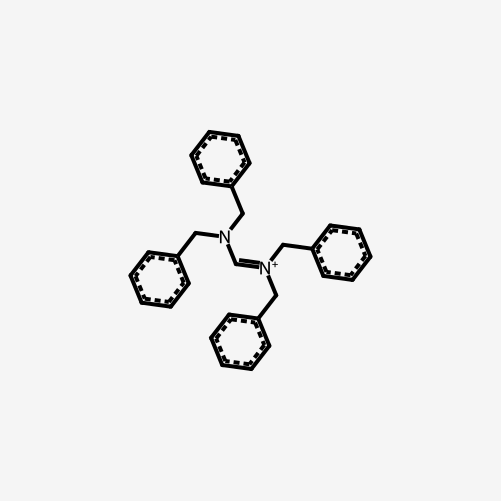 C(N(Cc1ccccc1)Cc1ccccc1)=[N+](Cc1ccccc1)Cc1ccccc1